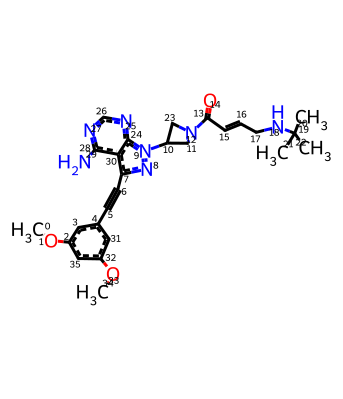 COc1cc(C#Cc2nn(C3CN(C(=O)C=CCNC(C)(C)C)C3)c3ncnc(N)c23)cc(OC)c1